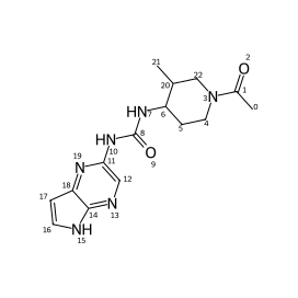 CC(=O)N1CCC(NC(=O)Nc2cnc3[nH]ccc3n2)C(C)C1